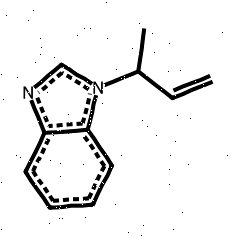 C=CC(C)n1cnc2ccccc21